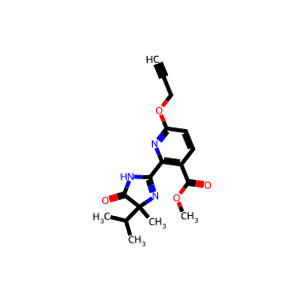 C#CCOc1ccc(C(=O)OC)c(C2=NC(C)(C(C)C)C(=O)N2)n1